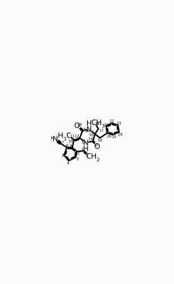 C=Cc1cccc(C#N)c1C(C)=C1NC(=O)C(CC)(Cc2ccccc2)NC1=O